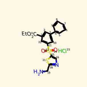 CCOC(=O)c1cc(-c2ccccc2)cc(S(=O)(=O)c2cnc(CN)s2)c1.Cl